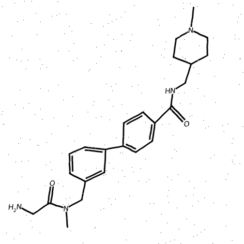 CN1CCC(CNC(=O)c2ccc(-c3cccc(CN(C)C(=O)CN)c3)cc2)CC1